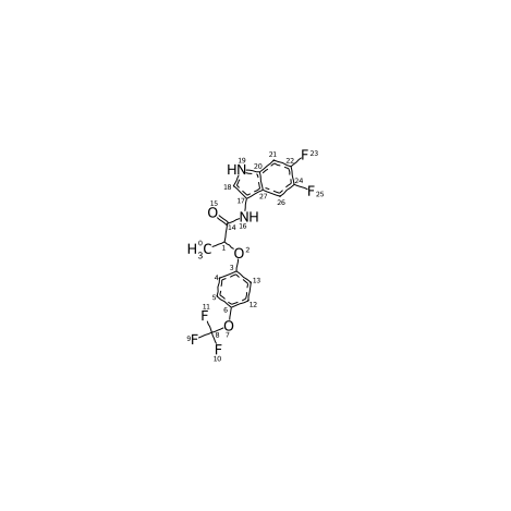 CC(Oc1ccc(OC(F)(F)F)cc1)C(=O)Nc1c[nH]c2cc(F)c(F)cc12